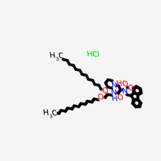 CCCCCCCCCCCCCCOCC(CNC(=O)C(CN1CCCCC1)N(CC1c2ccccc2-c2ccccc21)C(=O)O)OCCCCCCCCCCCCCC.Cl